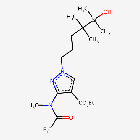 CCOC(=O)c1cn(CCCC(C)(C)[Si](C)(C)O)nc1N(C)C(=O)C(F)(F)F